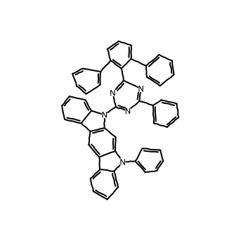 c1ccc(-c2nc(-c3c(-c4ccccc4)cccc3-c3ccccc3)nc(-n3c4ccccc4c4cc5c6ccccc6n(-c6ccccc6)c5cc43)n2)cc1